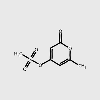 Cc1cc(OS(C)(=O)=O)cc(=O)o1